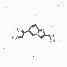 C=CC(=C)c1ccc2nc(NO)cn2c1